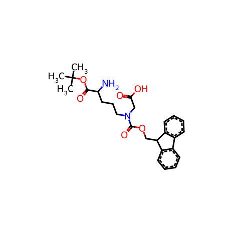 CC(C)(C)OC(=O)C(N)CCCN(CC(=O)O)C(=O)OCC1c2ccccc2-c2ccccc21